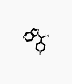 N#CC(C1CCNCC1)n1ncc2cnccc21